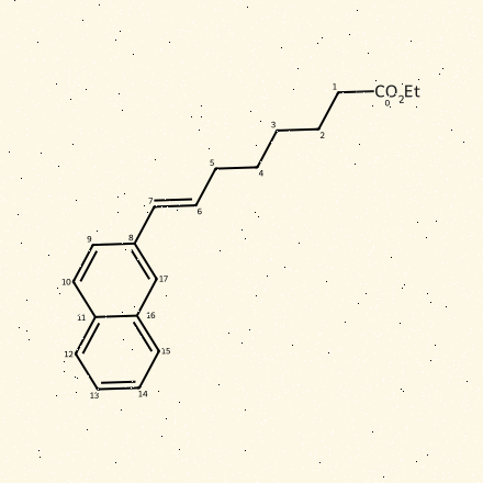 CCOC(=O)CCCCCC=Cc1ccc2ccccc2c1